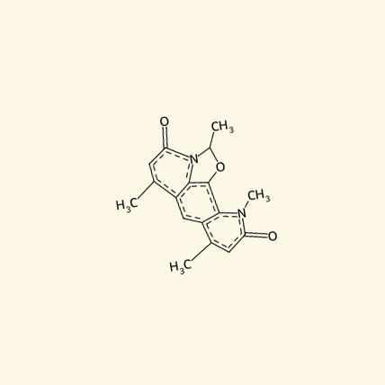 Cc1cc(=O)n(C)c2c3c4c(cc12)c(C)cc(=O)n4C(C)O3